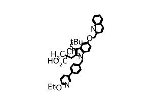 CCOc1ccc(-c2ccc(Cn3c(CC(C)(C)C(=O)O)c(SC(C)(C)C)c4cc(OCc5ccc6ccccc6n5)ccc43)cc2)cn1